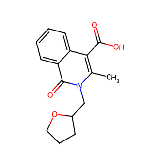 Cc1c(C(=O)O)c2ccccc2c(=O)n1CC1CCCO1